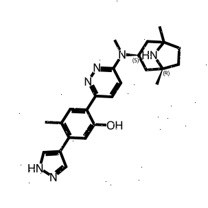 Cc1cc(-c2ccc(N(C)[C@H]3CC4(C)CC[C@](C)(C3)N4)nn2)c(O)cc1-c1cn[nH]c1